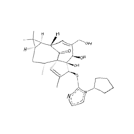 CC1=C[C@]23C(=O)[C@@H](C=C(CO)[C@@H](O)[C@]2(O)[C@H]1Oc1nccn1C1CCCC1)[C@H]1[C@@H](C[C@H]3C)C1(C)C